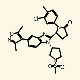 Cc1ccc(N2C(=O)CC[C@H]2c2nc3cc(-c4c(C)noc4C)ccc3n2[C@@H]2CCN(S(C)(=O)=O)C2)cc1Cl